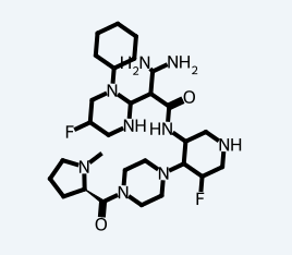 CN1CCC[C@@H]1C(=O)N1CCN(C2C(F)CNCC2NC(=O)C(C(N)N)C2NCC(F)CN2C2CCCCC2)CC1